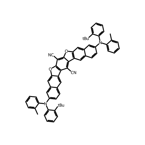 Cc1ccccc1N(c1ccc2cc3c(cc2c1)oc1c(C#N)c2oc4cc5cc(N(c6ccccc6C)c6ccccc6C(C)(C)C)ccc5cc4c2c(C#N)c13)c1ccccc1C(C)(C)C